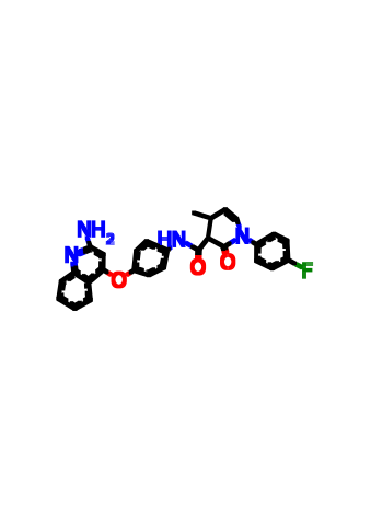 CC1C=CN(c2ccc(F)cc2)C(=O)C1C(=O)Nc1ccc(Oc2cc(N)nc3ccccc23)cc1